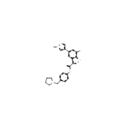 Cn1cc(-c2cc(F)c3[nH]nc(C(=O)Nc4ccc(CN5CCCC5)cc4)c3c2)cn1